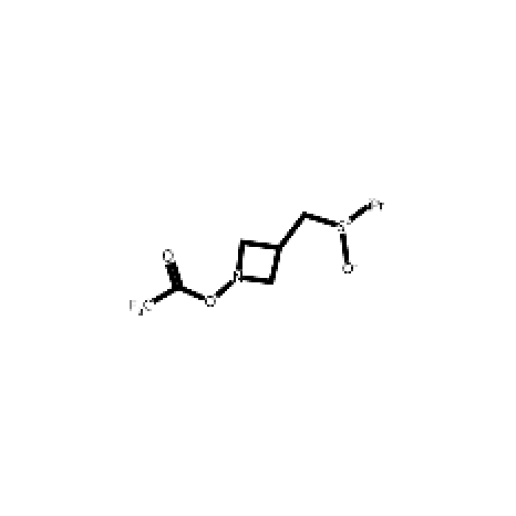 CC(C)[S+]([O-])CC1CN(OC(=O)C(F)(F)F)C1